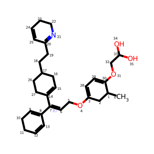 CC1CC(OC/C=C(/C2=CCCC=C2)C2=CCC(CCC3=NCCC=C3)CC2)=CC=C1OCC(O)O